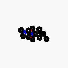 c1ccc(-c2cccc([Si](c3ccccc3)(c3ccccc3)c3cc(-c4ccccc4)c(-n4c5ccccc5c5c(-n6c7ccccc7c7ccccc76)cccc54)c(-c4ccccc4)c3)c2)cc1